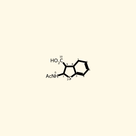 CC(=O)NC1SC2=CC=CCC2C1C(=O)O